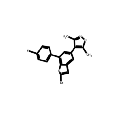 CCc1cc2cc(-c3c(C)noc3C)cc(-c3ccc(F)cc3)c2o1